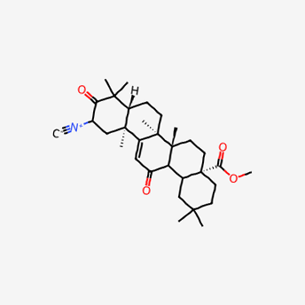 [C-]#[N+]C1C[C@]2(C)C3=CC(=O)C4C5CC(C)(C)CC[C@]5(C(=O)OC)CC[C@@]4(C)[C@]3(C)CC[C@H]2C(C)(C)C1=O